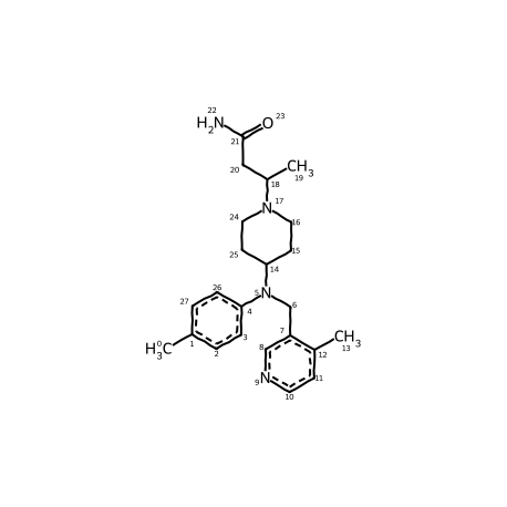 Cc1ccc(N(Cc2cnccc2C)C2CCN(C(C)CC(N)=O)CC2)cc1